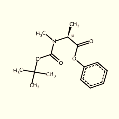 C[C@@H](C(=O)Oc1ccccc1)N(C)C(=O)OC(C)(C)C